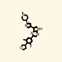 Cc1cc(-c2cnc3[nH]cc(-c4cnn(C5CCN(C)CC5)c4)c3n2)cc(F)c1C1CCOC1